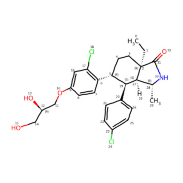 CC[C@@]12CC[C@@H](c3ccc(OC[C@H](O)CO)cc3Cl)[C@H](c3ccc(Cl)cc3)[C@@H]1[C@@H](C)NC2=O